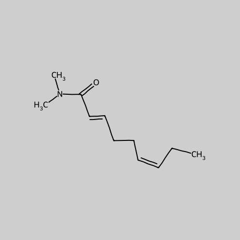 CC/C=C\CC/C=C/C(=O)N(C)C